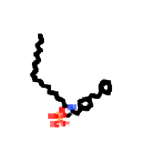 CCCCCCCC/C=C\CCCCCCCC(=O)N[C@@H](CO[PH](O)(O)O)Cc1ccc(/C=C/c2ccccc2)cc1